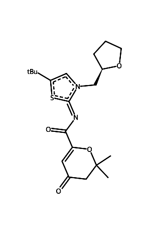 CC1(C)CC(=O)C=C(C(=O)N=c2sc(C(C)(C)C)cn2C[C@H]2CCCO2)O1